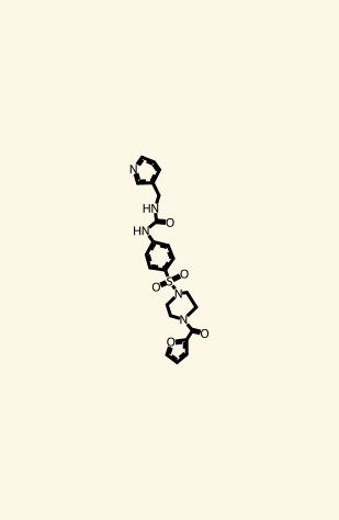 O=C(NCc1cccnc1)Nc1ccc(S(=O)(=O)N2CCN(C(=O)c3ccco3)CC2)cc1